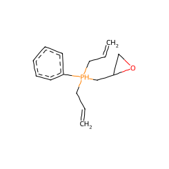 C=CC[PH](CC=C)(CC1CO1)c1ccccc1